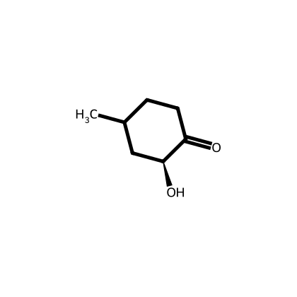 CC1CCC(=O)[C@@H](O)C1